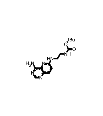 CC(C)(C)OC(=O)NCCNc1ccc2ncnc(N)c2n1